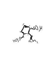 C=Cc1c(CS(=O)(=O)O)cccc1S(=O)(=O)O